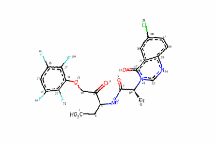 CC[C@@H](C(=O)NC(CC(=O)O)C(=O)COc1c(F)c(F)cc(F)c1F)n1cnc2ccc(Cl)cc2c1=O